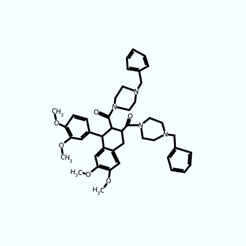 COc1ccc(C2c3cc(OC)c(OC)cc3CC(C(=O)N3CCN(Cc4ccccc4)CC3)C2C(=O)N2CCN(Cc3ccccc3)CC2)cc1OC